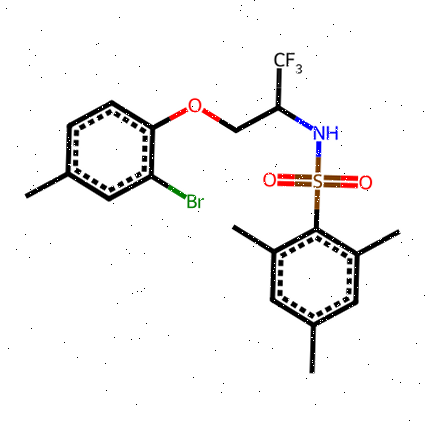 Cc1cc(C)c(S(=O)(=O)NC(COc2ccc(C)cc2Br)C(F)(F)F)c(C)c1